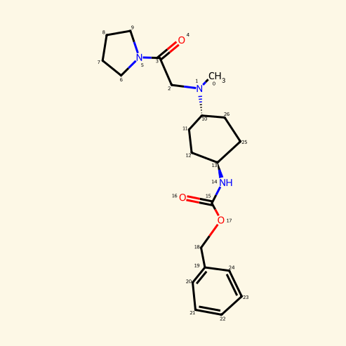 CN(CC(=O)N1CCCC1)[C@H]1CC[C@H](NC(=O)OCc2ccccc2)CC1